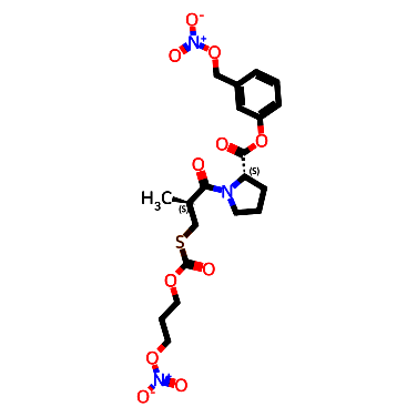 C[C@H](CSC(=O)OCCCO[N+](=O)[O-])C(=O)N1CCC[C@H]1C(=O)Oc1cccc(CO[N+](=O)[O-])c1